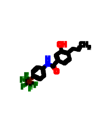 C=CCc1ccc(C(=O)Nc2ccc(S(F)(F)(F)(F)F)cc2)cc1O